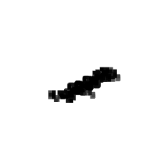 Cc1c(NC(=O)c2nnc(CN)s2)cccc1-c1cccc(NC(=O)c2nnc([C@@](C)(N)O)s2)c1C